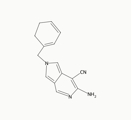 N#Cc1c(N)ncc2cn(CC3=CC=CCC3)cc12